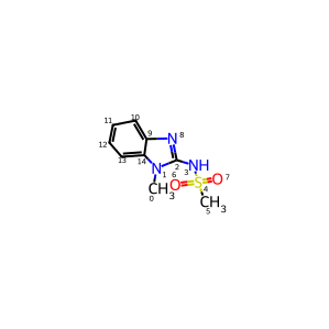 Cn1c(NS(C)(=O)=O)nc2ccccc21